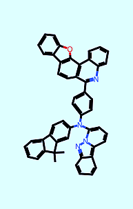 CC1(C)c2ccccc2-c2ccc(N(c3ccc(-c4nc5ccccc5c5c4ccc4c6ccccc6oc45)cc3)c3cccc4c5ccccc5nn34)cc21